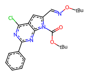 CC(C)(C)O/N=C/c1cc2c(Cl)nc(-c3ccccc3)nc2n1C(=O)OC(C)(C)C